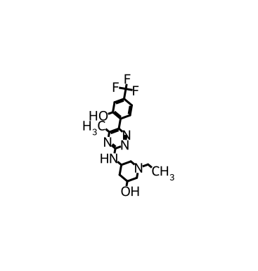 CCN1CC(O)CC(Nc2nnc(-c3ccc(C(F)(F)F)cc3O)c(C)n2)C1